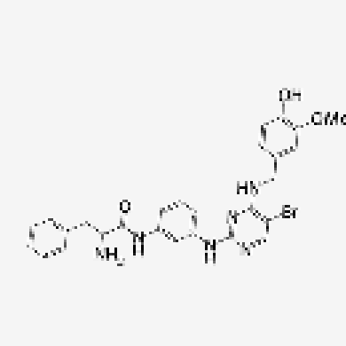 COc1cc(CNc2nc(Nc3cccc(NC(=O)C(N)Cc4ccccc4)c3)ncc2Br)ccc1O